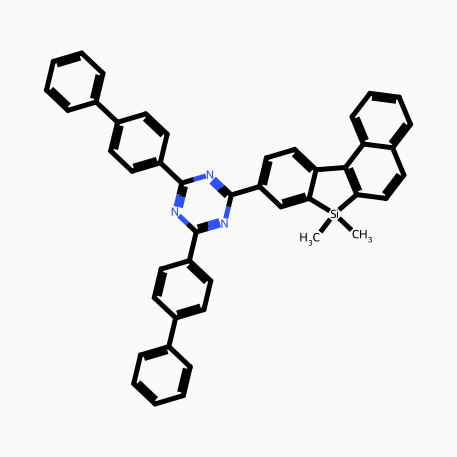 C[Si]1(C)c2cc(-c3nc(-c4ccc(-c5ccccc5)cc4)nc(-c4ccc(-c5ccccc5)cc4)n3)ccc2-c2c1ccc1ccccc21